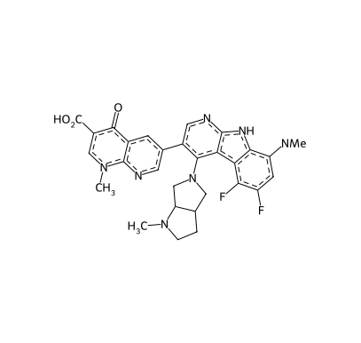 CNc1cc(F)c(F)c2c1[nH]c1ncc(-c3cnc4c(c3)c(=O)c(C(=O)O)cn4C)c(N3CC4CCN(C)C4C3)c12